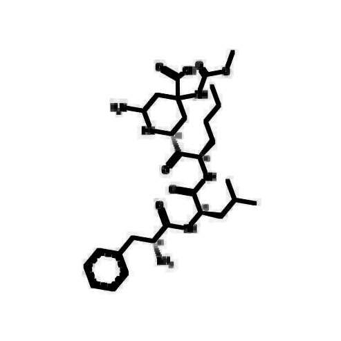 CCCC[C@@H](NC(=O)[C@@H](CC(C)C)NC(=O)[C@H](N)Cc1ccccc1)C(=O)[C@H]1CC(NC(=O)OC)(C(=O)O)CC(N)N1